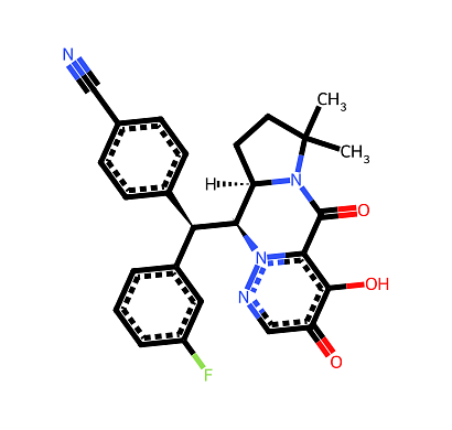 CC1(C)CC[C@@H]2[C@H]([C@H](c3ccc(C#N)cc3)c3cccc(F)c3)n3ncc(=O)c(O)c3C(=O)N21